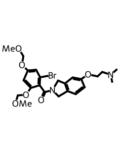 COCOc1cc(Br)c(C(=O)N2Cc3ccc(OCCN(C)C)cc3C2)c(OCOC)c1